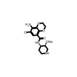 CO[C@H]1CNCC[C@H]1NC(=O)c1cc(Cl)c(N)c2c1OCCO2